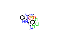 CN(C)CCCNc1nc(CN(C)S(=O)(=O)c2ccc(Cl)c(Cl)c2Cl)nc2ccccc12